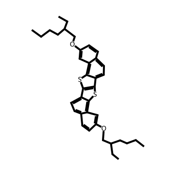 CCCCC(CC)COc1ccc2ccc3c(sc4c5ccc6ccc(OCC(CC)CCCC)cc6c5sc34)c2c1